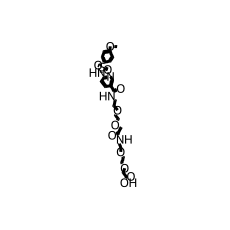 COc1ccc(S(=O)(=O)Nc2ccc(C(=O)NCCOCCOCC(=O)NCCOCCOCC(=O)O)cn2)cc1